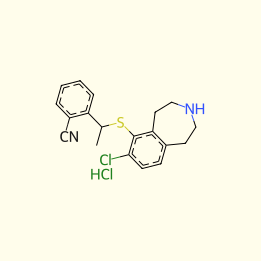 CC(Sc1c(Cl)ccc2c1CCNCC2)c1ccccc1C#N.Cl